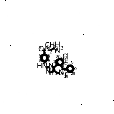 CN(CCN)C(=O)c1ccc(Nc2ncc3c(n2)-c2ccc(Cl)cc2C(c2c(F)cccc2F)=NC3)cc1